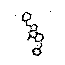 O=c1nc2n(c3c1CN(Cc1ccccc1)CC3)CCN2CC1CCCCC1